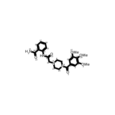 COc1cc(C(=O)N2CCN(CC(=O)Nc3ccccc3C(N)=O)CC2)cc(OC)c1OC